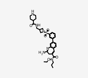 CCCN(OCC)C(=O)C1=Cc2ccc(-c3cccc(S(=O)(=O)N4CC(CNC(=O)C5CCNCC5)C4)c3)cc2N=C(N)C1